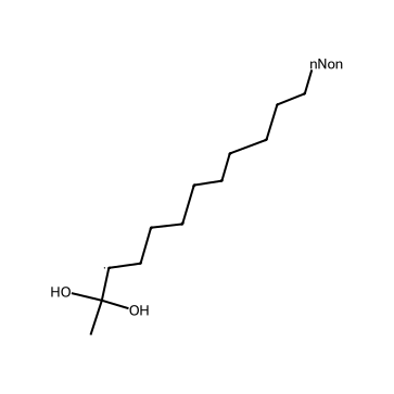 CCCCCCCCCCCCCCCCCC[CH]C(C)(O)O